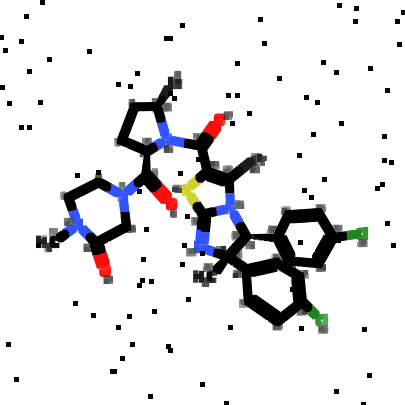 CC[C@@H]1CC[C@H](C(=O)N2CCN(C)C(=O)C2)N1C(=O)C1=C(C(C)C)N2C(=N[C@@](C)(c3ccc(Cl)cc3)[C@H]2c2ccc(Cl)cc2)S1